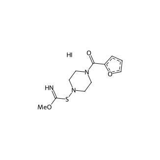 COC(=N)SN1CCN(C(=O)c2ccco2)CC1.I